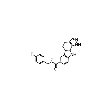 O=C(NCc1ccc(F)cc1)c1ccc2[nH]c3c(c2c1)CCc1cn[nH]c1-3